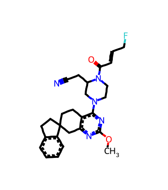 COc1nc2c(c(N3CCN(C(=O)/C=C/CF)C(CC#N)C3)n1)CCC1(CCc3ccccc31)C2